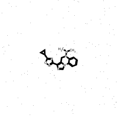 CN(C)N1CC2=C(c3noc(C4CC4)n3)N=C[N+]2c2ccccc21